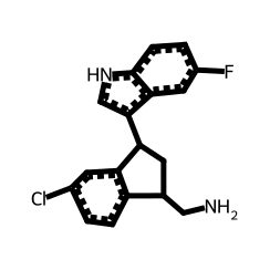 NCC1CC(c2c[nH]c3ccc(F)cc23)c2cc(Cl)ccc21